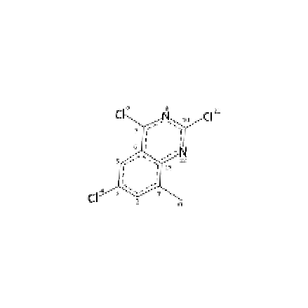 Cc1cc(Cl)cc2c(Cl)nc(Cl)nc12